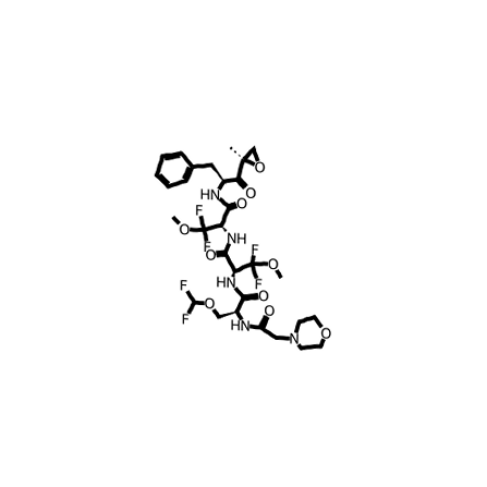 COC(F)(F)[C@@H](NC(=O)[C@H](COC(F)F)NC(=O)CN1CCOCC1)C(=O)N[C@@H](C(=O)N[C@@H](Cc1ccccc1)C(=O)[C@@]1(C)CO1)C(F)(F)OC